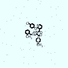 Cc1ccccc1COC[C@@H](NC(=O)c1cccnc1Oc1ccc(Cl)cc1)C(=O)N1CCN(C)CC1